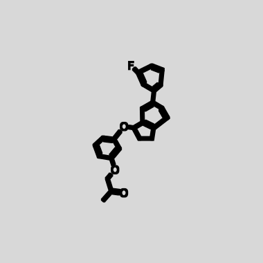 CC(=O)COc1cccc(OC2CCc3ccc(-c4cccc(F)c4)cc32)c1